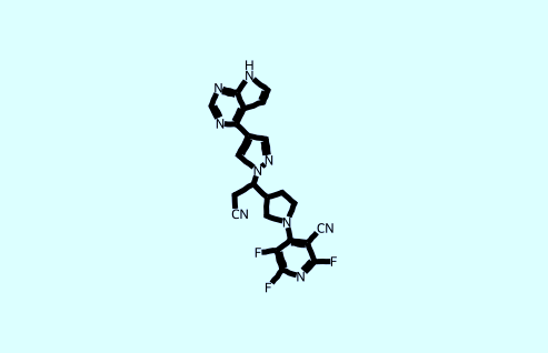 N#CCC(C1CCN(c2c(F)c(F)nc(F)c2C#N)C1)n1cc(-c2ncnc3[nH]ccc23)cn1